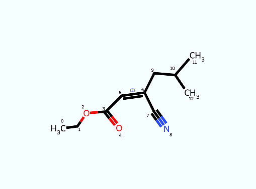 CCOC(=O)/C=C(\C#N)CC(C)C